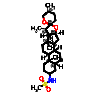 C[C@@H]1CC[C@@]2(OC1)O[C@H]1C[C@H]3[C@@H]4CC[C@@H]5CC(NS(C)(=O)=O)CC[C@]5(C)[C@H]4CC[C@]3(C)[C@H]1[C@@H]2C